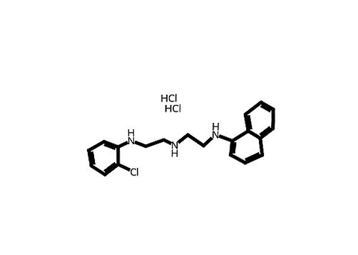 Cl.Cl.Clc1ccccc1NCCNCCNc1cccc2ccccc12